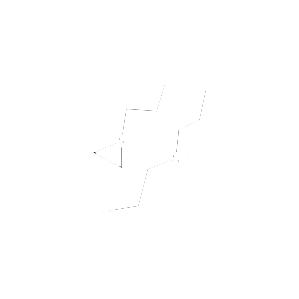 CCCN1CC1.CCCNCCO